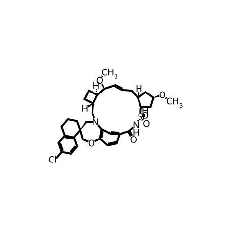 CO[C@@H]1C[C@H]2C/C=C/[C@H](OC)[C@@H]3CC[C@H]3CN3C[C@@]4(CCCc5cc(Cl)ccc54)COc4ccc(cc43)C(=O)NS(=O)(=O)[C@@H]2C1